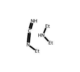 CCN=C=N.CCNCC